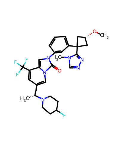 CO[C@H]1C[C@@](c2cccc(-n3cc4c(C(F)(F)F)cc([C@@H](C)N5CCC(F)CC5)cn4c3=O)c2)(c2nncn2C)C1